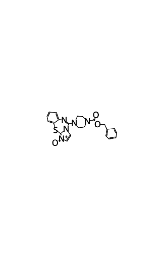 O=C(OCc1ccccc1)N1CCN(C2=Nc3ccccc3Sc3n2cc[n+]3[O-])CC1